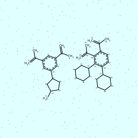 C=C(C)c1cc(C(=C)C)cc(C2CCC(C)C2)c1.C=C(C)c1ccc(C2CCCCC2)c(C2CCCCC2)c1C(=C)C